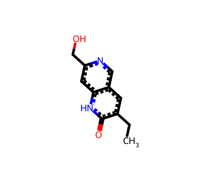 CCc1cc2cnc(CO)cc2[nH]c1=O